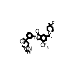 C[C@H](c1cc2c(c(C(F)(F)F)c1)CN(c1cccc(C3(Cc4nncn4C)COC3)c1)C2=O)N1CCC(C)(F)CC1